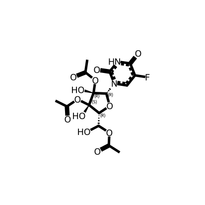 CC(=O)OC(O)[C@H]1O[C@@H](n2cc(F)c(=O)[nH]c2=O)[C@@](O)(OC(C)=O)[C@@]1(O)OC(C)=O